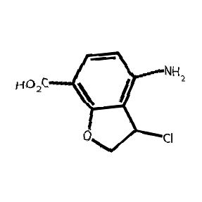 Nc1ccc(C(=O)O)c2c1C(Cl)CO2